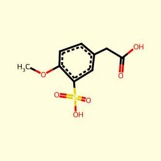 COc1ccc(CC(=O)O)cc1S(=O)(=O)O